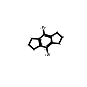 CCc1c2c(c(Br)c3c1CCC3)CCC2